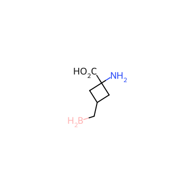 BCC1CC(N)(C(=O)O)C1